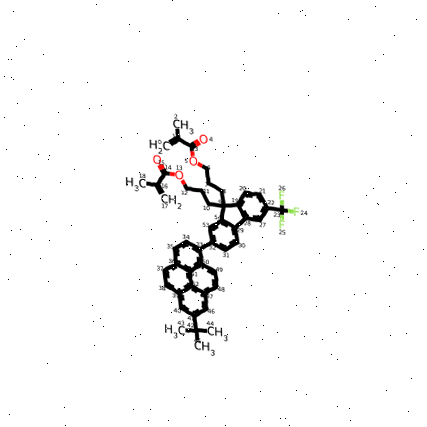 C=C(C)C(=O)OCCCC1(CCCOC(=O)C(=C)C)c2ccc(C(F)(F)F)cc2-c2ccc(-c3ccc4ccc5cc(C(C)(C)C)cc6ccc3c4c56)cc21